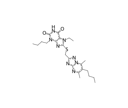 CCCCc1c(C)nc2nc(CSc3nc4c(c(=O)[nH]c(=O)n4CCCC)n3CC)nn2c1C